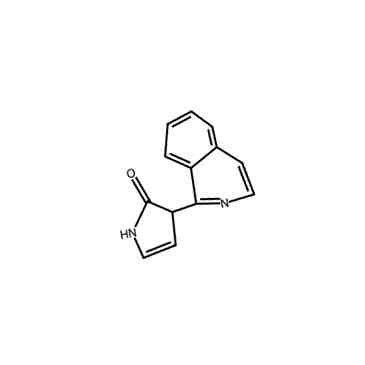 O=C1NC=CC1c1nccc2ccccc12